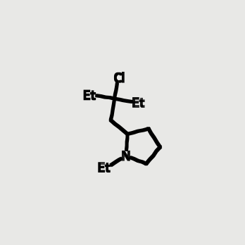 CCN1CCCC1CC(Cl)(CC)CC